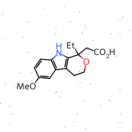 CCC1(CC(=O)O)OCCc2c1[nH]c1ccc(OC)cc21